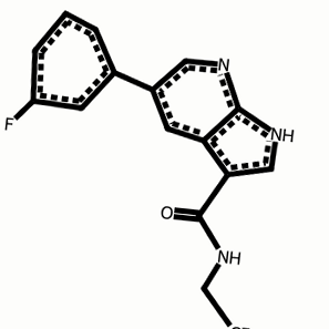 O=C(NCC(F)(F)F)c1c[nH]c2ncc(-c3cccc(F)c3)cc12